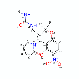 CNC(=O)NCC1=C(n2ccccc2=O)c2cc([N+](=O)[O-])ccc2OC1(C)C